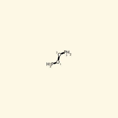 POOP